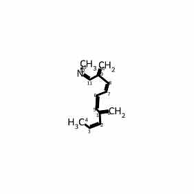 C=C(/C=C\C)/C=C\C=C/C(=C)/C=N\C